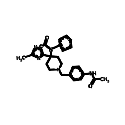 CC(=O)Nc1ccc(CN2CCC(c3nc(C)cs3)(N(C(C)=O)c3ccccc3)CC2)cc1